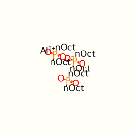 CCCCCCCCP(=O)([O-])CCCCCCCC.CCCCCCCCP(=O)([O-])CCCCCCCC.CCCCCCCCP(=O)([O-])CCCCCCCC.[Al+3]